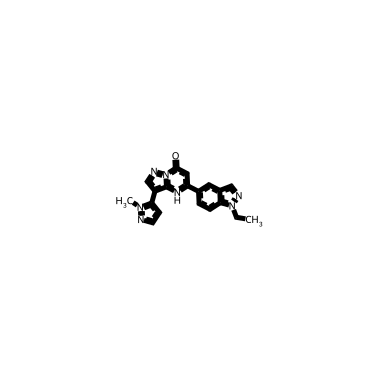 CCn1ncc2cc(-c3cc(=O)n4ncc(-c5ccnn5C)c4[nH]3)ccc21